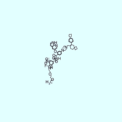 COCCOCCn1nc2cc(S(=O)(=O)NC(=O)c3ccc(N4CCN(CC5=C(c6ccc(Cl)cc6)CC6(CCC6)CC5)CC4)cc3Oc3cnc4[nH]ccc4c3)cc([N+](=O)[O-])c2c1F